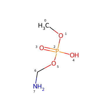 COP(=O)(O)OCN